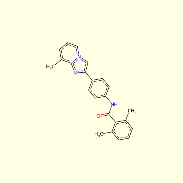 Cc1cccc(C)c1C(=O)Nc1ccc(-c2cn3cccc(C)c3n2)cc1